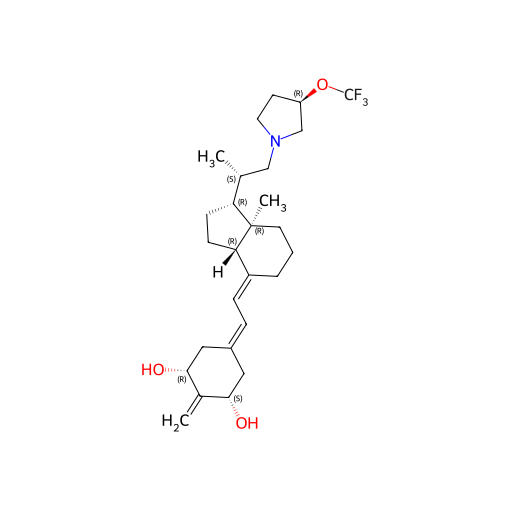 C=C1[C@H](O)CC(=CC=C2CCC[C@]3(C)[C@@H]([C@H](C)CN4CC[C@@H](OC(F)(F)F)C4)CC[C@@H]23)C[C@@H]1O